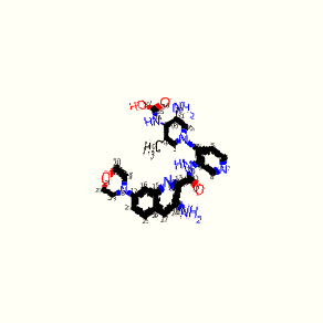 C[C@H]1CN(c2ccncc2NC(=O)c2nc3cc(N4CCOCC4)ccc3cc2N)C[C@@H](N)[C@H]1NC(=O)O